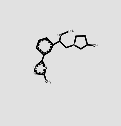 CNC(CN1CCC(O)C1)c1cccc(-c2nc(C)no2)c1